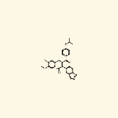 COc1ccc(CC(C(=O)c2ccc(OC(C)C)cc2)=C(C(=O)O)c2ccc3nsnc3c2)cc1F